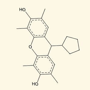 Cc1cc2c(c(C)c1O)Oc1c(cc(C)c(O)c1C)C2C1CCCC1